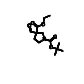 CCOC(=O)C1(C=O)CCN(C(=O)OC(C)(C)C)C1